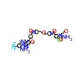 COc1cc2nc(C)nc(N[C@H](C)c3cc(N)cc(C(F)(F)F)c3)c2cc1C1=CCC(C(=O)N2CCC(CCOCC3CCN(C(=O)c4ccc(Cl)c(N(CCC=O)C(N)=O)c4)CC3)CC2)CC1